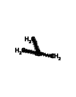 C=CCCCCCCCCCOP(OCCCCCCCCCC=C)OCCCCCCCCCC=C